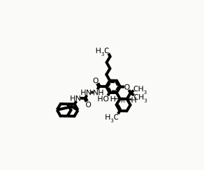 CCCCCc1cc2c(c(O)c1C(=O)NNC(=O)NC1C3CC4CC(C3)CC1C4)[C@@H]1C=C(C)CC[C@H]1C(C)(C)O2